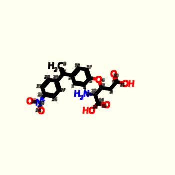 C=C(c1ccc(OC(CC(=O)O)[C@H](N)C(=O)O)cc1)c1ccc([N+](=O)[O-])cc1